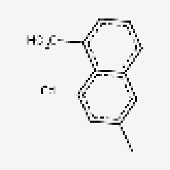 Cc1ccc2c(C(=O)O)cccc2c1.[Cd]